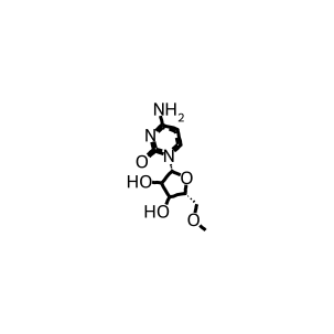 COC[C@H]1O[C@@H](n2ccc(N)nc2=O)C(O)C1O